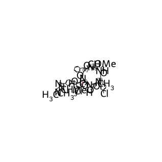 COC[C@H]1CNC(=O)C[C@H](Cc2ccc(Cl)cc2)N(C)C(=O)[C@H](COC)NC(=O)[C@H](C)N(Cc2ccc(Cl)cc2Oc2ccc(-c3cnc(CN(C)C)n3C)cc2)C(=O)C[C@@H](Cc2ccccc2)C(=O)N1C